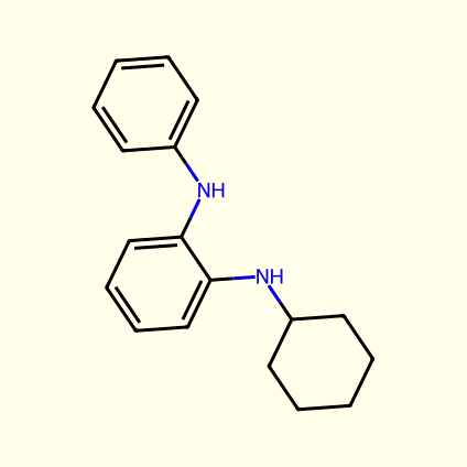 c1ccc(Nc2ccccc2NC2CCCCC2)cc1